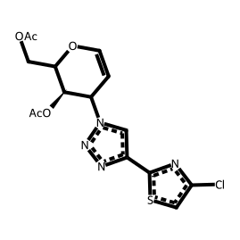 CC(=O)OCC1OC=CC(n2cc(-c3nc(Cl)cs3)nn2)[C@H]1OC(C)=O